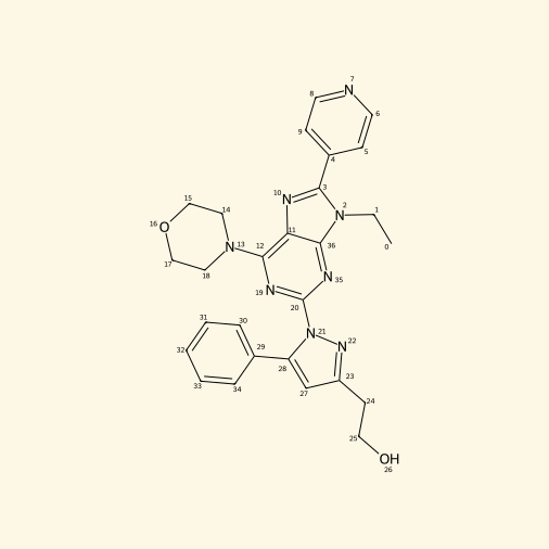 CCn1c(-c2ccncc2)nc2c(N3CCOCC3)nc(-n3nc(CCO)cc3-c3ccccc3)nc21